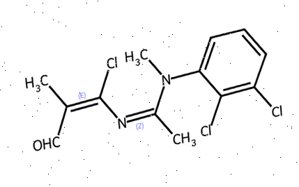 C/C(=N/C(Cl)=C(/C)C=O)N(C)c1cccc(Cl)c1Cl